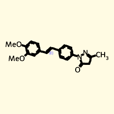 COc1ccc(/C=C/c2ccc(N3N=C(C)CC3=O)cc2)cc1OC